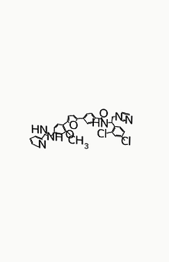 COc1cc(NC(=N)c2ccccn2)ccc1-c1ccc(-c2ccc(C(=O)N[C@@H](Cn3ccnc3)c3ccc(Cl)cc3Cl)cc2)o1